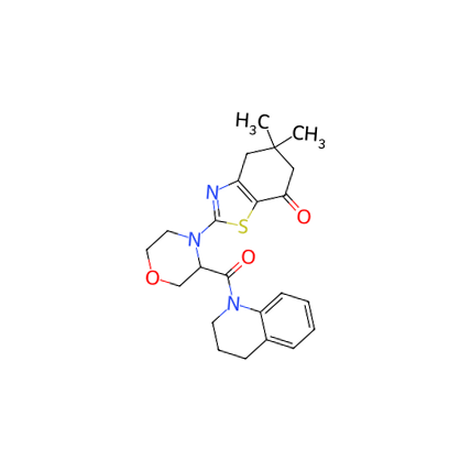 CC1(C)CC(=O)c2sc(N3CCOCC3C(=O)N3CCCc4ccccc43)nc2C1